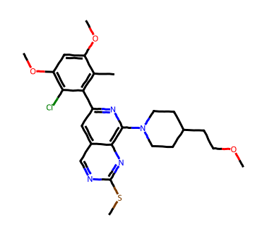 COCCC1CCN(c2nc(-c3c(C)c(OC)cc(OC)c3Cl)cc3cnc(SC)nc23)CC1